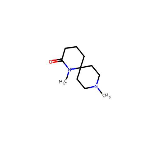 CN1CCC2(CCCC(=O)N2C)CC1